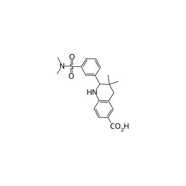 CN(C)S(=O)(=O)c1cccc(C2Nc3ccc(C(=O)O)cc3CC2(C)C)c1